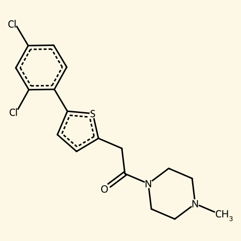 CN1CCN(C(=O)Cc2ccc(-c3ccc(Cl)cc3Cl)s2)CC1